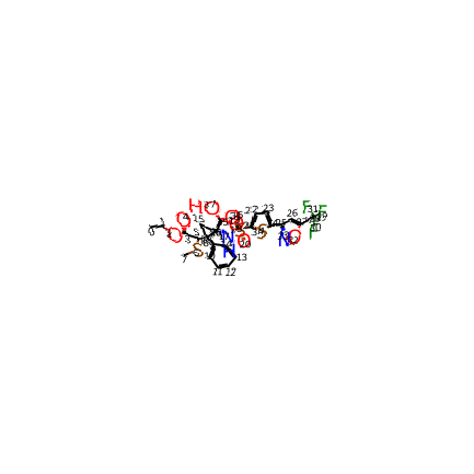 CCOC(=O)C(SC)[C@@]1(c2ccccc2)C[C@]1(NS(=O)(=O)c1ccc(-c2cc(C(F)(F)F)on2)s1)C(=O)O